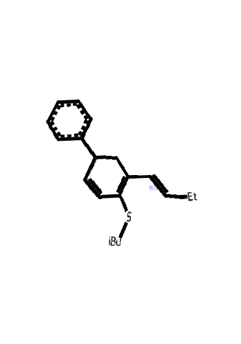 CC/C=C/C1=C(SC(C)CC)C=CC(c2ccccc2)C1